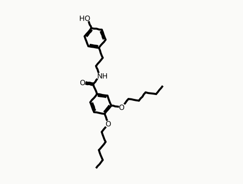 CCCCCOc1ccc(C(=O)NCCc2ccc(O)cc2)cc1OCCCCC